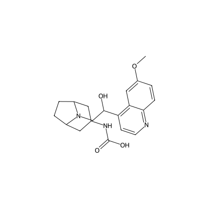 COc1ccc2nccc(C(O)CN3C4CCC3CC(NC(=O)O)C4)c2c1